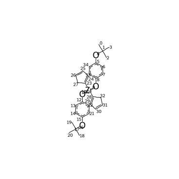 CC(C)(C)Oc1ccc([O][Zr]([O]c2ccc(OC(C)(C)C)cc2)([C]2=CC=CC2)[C]2=CC=CC2)cc1